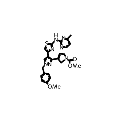 COC(=O)N1CC=C(c2nn(Cc3ccc(OC)cc3)cc2-c2csc(Nc3nccc(C)n3)n2)C1